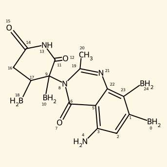 Bc1cc(N)c2c(=O)n(C3(B)C(=O)NC(=O)CC3B)c(C)nc2c1B